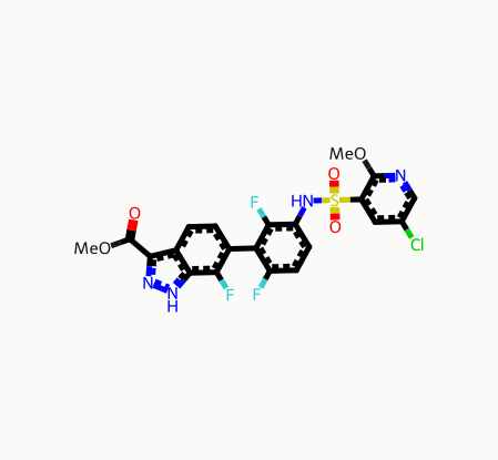 COC(=O)c1n[nH]c2c(F)c(-c3c(F)ccc(NS(=O)(=O)c4cc(Cl)cnc4OC)c3F)ccc12